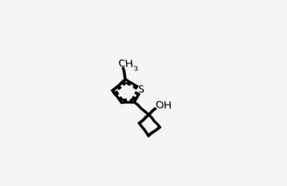 Cc1ccc(C2(O)CCC2)s1